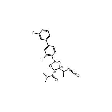 CC(N=C=O)[C@@H]1OB(c2ccc(-c3cccc(F)c3)cc2F)O[C@H]1C(=O)N(C)C